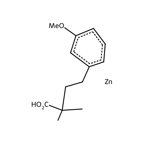 COc1cccc(CCC(C)(C)C(=O)O)c1.[Zn]